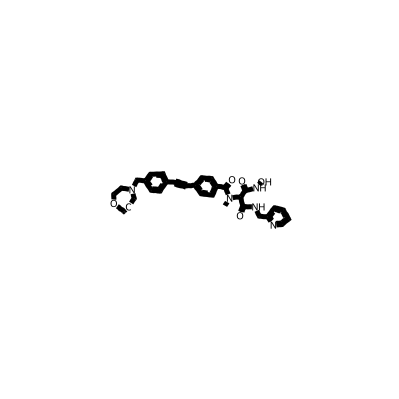 CN(C(=O)c1ccc(C#Cc2ccc(CN3CCCOCC3)cc2)cc1)C(C(=O)NO)C(=O)NCc1ccccn1